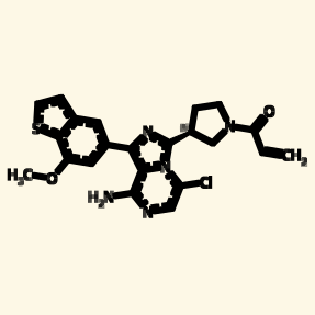 C=CC(=O)N1CC[C@H](c2nc(-c3cc(OC)c4sccc4c3)c3c(N)ncc(Cl)n23)C1